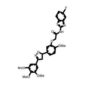 COc1ccc(C2CC(c3cc(OC)c(OC)c(OC)c3)=NO2)cc1OCC(=O)Nc1nc2cc(F)ccc2s1